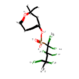 CC1(C)CC(OS(=O)(=O)C(F)(F)C(F)(F)C(F)(F)C(F)(F)F)=CCO1